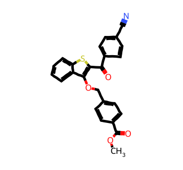 COC(=O)c1ccc(COc2c(C(=O)c3ccc(C#N)cc3)sc3ccccc23)cc1